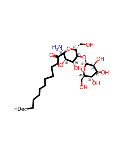 CCCCCCCCCCCCCCCCCCCC(=O)[C@@]1(N)O[C@H](CO)[C@@H](O[C@@H]2O[C@H](CO)[C@@H](O)[C@H](O)[C@@H]2O)[C@H](O)[C@@H]1O